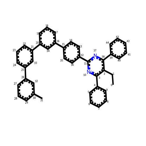 CCc1c(-c2ccccc2)nc(-c2ccc(-c3cccc(-c4cccc(-c5cccc(C)c5)c4)c3)cc2)nc1-c1ccccc1